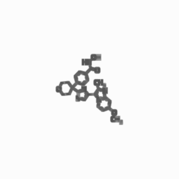 COc1ccn2c(-c3csc(C4(c5ccc(C(=O)NO)cc5)CCOCC4)n3)c(C)nc2c1